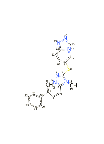 C=C(/C=C\c1nnc(Sc2ccc3nncn3c2)n1C)c1ccccc1